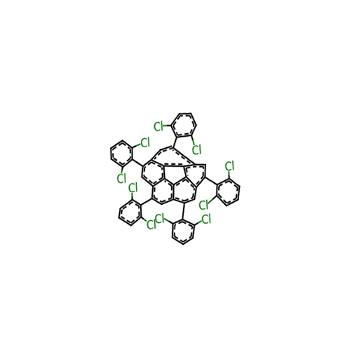 Clc1cccc(Cl)c1-c1cc2c(-c3c(Cl)cccc3Cl)cc3c(-c4c(Cl)cccc4Cl)cc4c(-c5c(Cl)cccc5Cl)cc5c(-c6c(Cl)cccc6Cl)cc1c1c5c4c3c21